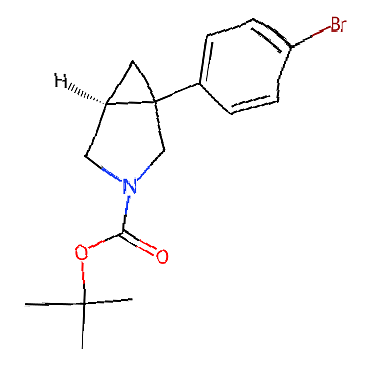 CC(C)(C)OC(=O)N1C[C@H]2CC2(c2ccc(Br)cc2)C1